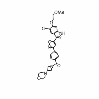 COCCOc1cc2[nH]nc(-c3cc(-c4ccc(C(=O)N5CC(N6CCOCC6)C5)cc4)no3)c2cc1Cl